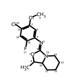 COc1cc(N=C2OC(C)C3CCCCN23)c(F)cc1Cl